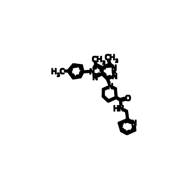 Cc1ccc(-n2nc3c(N4CCCC(C(=O)NCc5ccccn5)C4)nnc(C)c3c2C)cc1